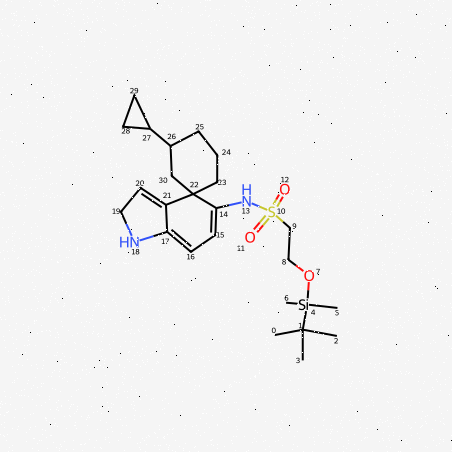 CC(C)(C)[Si](C)(C)OCCS(=O)(=O)NC1=CC=C2NCC=C2C12CCCC(C1CC1)C2